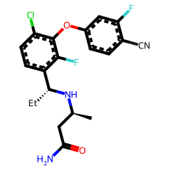 CC[C@@H](N[C@@H](C)CC(N)=O)c1ccc(Cl)c(Oc2ccc(C#N)c(F)c2)c1F